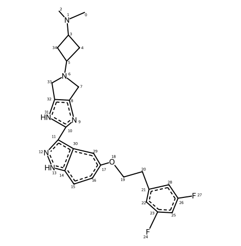 CN(C)C1CC(N2Cc3nc(-c4n[nH]c5ccc(OCCc6cc(F)cc(F)c6)cc45)[nH]c3C2)C1